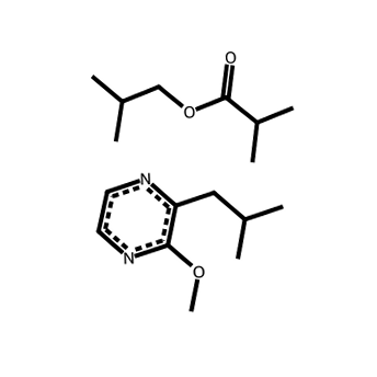 CC(C)COC(=O)C(C)C.COc1nccnc1CC(C)C